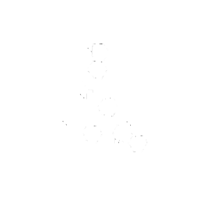 O=S(=O)(NCC1CCCN(Cc2ccc(-c3nc4ccccc4nc3-c3ccccc3)cc2)C1)c1ccc2cccnc2c1